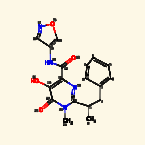 CC(Cc1ccccc1)c1nc(C(=O)Nc2cnoc2)c(O)c(=O)n1C